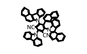 N#Cc1c(-n2c3ccccc3c3ccccc32)c(C#N)c(-n2c3ccccc3c3c4ccccc4ccc32)c(-c2ccc3ccccc3c2)c1-n1c2ccccc2c2c3ccccc3ccc21